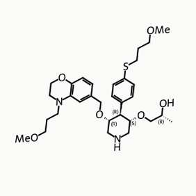 COCCCSc1ccc([C@@H]2[C@@H](OCc3ccc4c(c3)N(CCCOC)CCO4)CNC[C@H]2OC[C@@H](C)O)cc1